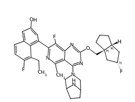 CCc1c(F)ccc2cc(O)cc(-c3nc(C)c4c(N5CC6CCC(C5)N6)nc(OC[C@@]56CCC[C@@H]5C[C@H](F)C6)nc4c3F)c12